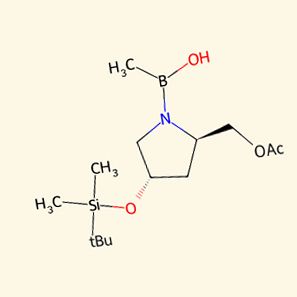 CB(O)N1C[C@@H](O[Si](C)(C)C(C)(C)C)C[C@@H]1COC(C)=O